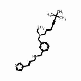 CCN(CC=CC#CC(C)(C)C)Cc1cccc(CNCC=Cc2ccsc2)c1